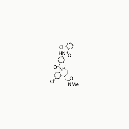 CNC(=O)CC1CCC(C)N(C(=O)c2ccc(NC(=O)c3ccccc3Cl)cc2)c2ccc(Cl)cc21